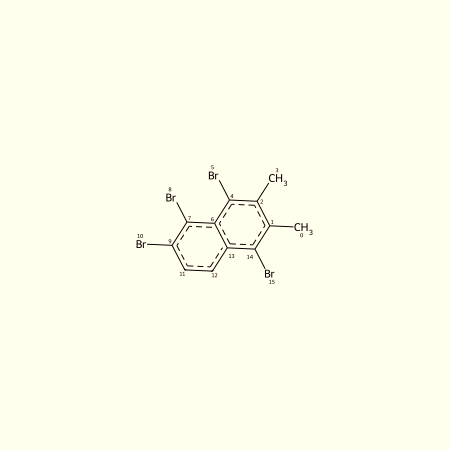 Cc1c(C)c(Br)c2c(Br)c(Br)ccc2c1Br